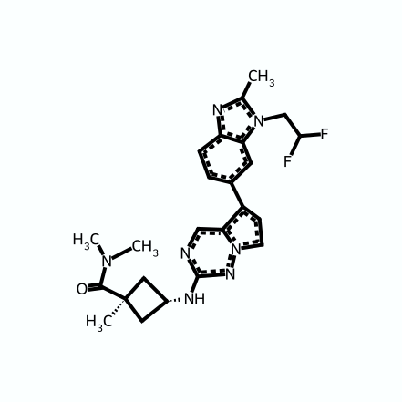 Cc1nc2ccc(-c3ccn4nc(N[C@H]5C[C@](C)(C(=O)N(C)C)C5)ncc34)cc2n1CC(F)F